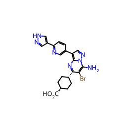 Nc1c(Br)c([C@H]2CC[C@H](C(=O)O)CC2)nc2c(-c3ccc(-c4cn[nH]c4)nc3)cnn12